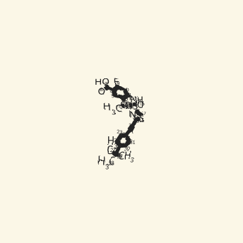 COc1cc(C(=O)O)c(F)cc1NS(=O)(=O)c1csc(C#Cc2ccc(C(C)(C)C)cc2)n1